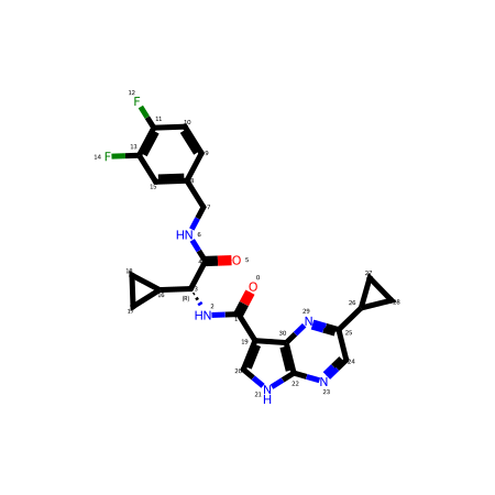 O=C(N[C@@H](C(=O)NCc1ccc(F)c(F)c1)C1CC1)c1c[nH]c2ncc(C3CC3)nc12